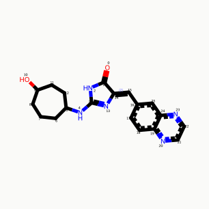 O=C1NC(NC2CCCC(O)CC2)=N/C1=C\c1ccc2nccnc2c1